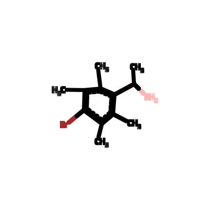 BC(C)c1c(C)c(C)c(Br)c(C)c1C